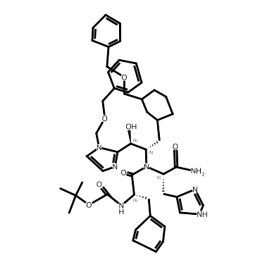 CC(C)(C)OC(=O)N[C@@H](Cc1ccccc1)C(=O)N([C@@H](Cc1c[nH]cn1)C(N)=O)[C@@H](CC1CCCC(COCc2ccccc2)C1)[C@H](O)c1nccn1COCc1ccccc1